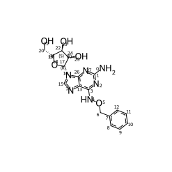 Nc1nc(NOCc2ccccc2)c2ncn([C@@H]3O[C@H](CO)[C@@H](O)[C@H]3O)c2n1